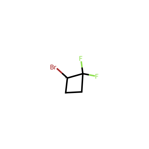 FC1(F)CC[C]1Br